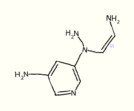 N/C=C\N(N)c1cncc(N)c1